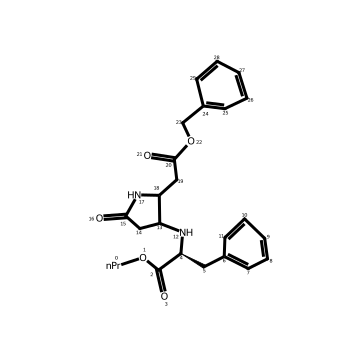 CCCOC(=O)[C@H](Cc1ccccc1)NC1CC(=O)NC1CC(=O)OCc1ccccc1